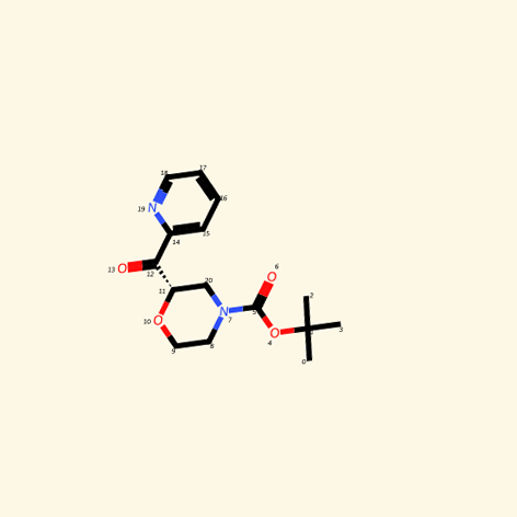 CC(C)(C)OC(=O)N1CCO[C@H](C(=O)c2ccccn2)C1